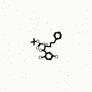 CC(C)(C)OC(=O)NC(CCCc1ccccc1)C(=O)c1cc(Cl)ccc1Cl